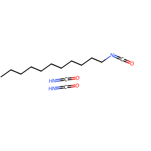 CCCCCCCCCCCN=C=O.N=C=O.N=C=O